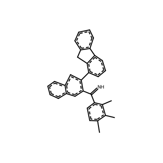 Cc1ccc(C(=N)c2cc3ccccc3cc2-c2cccc3c2Cc2ccccc2-3)c(C)c1C